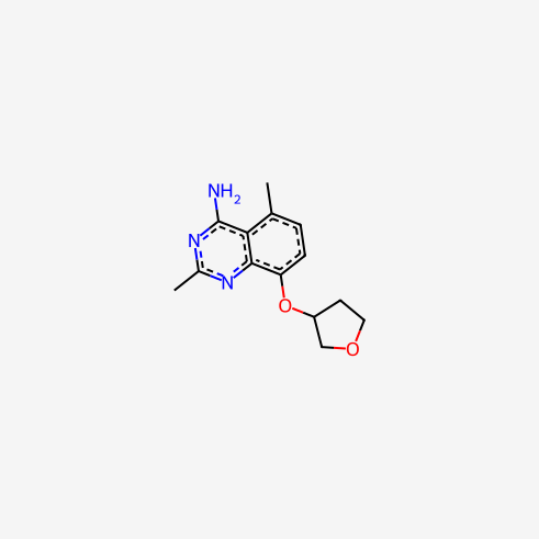 Cc1nc(N)c2c(C)ccc(OC3CCOC3)c2n1